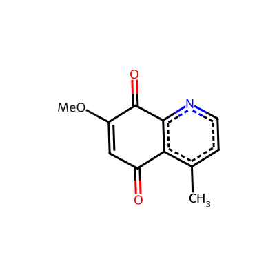 COC1=CC(=O)c2c(C)ccnc2C1=O